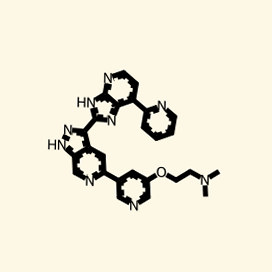 CN(C)CCOc1cncc(-c2cc3c(-c4nc5c(-c6ccccn6)ccnc5[nH]4)n[nH]c3cn2)c1